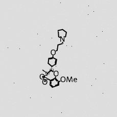 COc1cccc2c1O[C@@H](C1C=CC(OCCCN3CCCCC3)=CC1)[C@H](C)S2(=O)=O